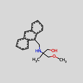 COCC(C)(CO)NCc1c2ccccc2cc2ccccc12